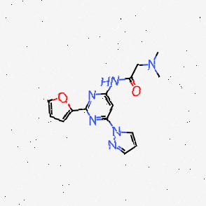 CN(C)CC(=O)Nc1cc(-n2cccn2)nc(-c2ccco2)n1